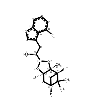 CC1(C)[C@@H]2C[C@H]3OB([C@@H](N)Cc4coc5cccc(Cl)c45)O[C@@]3(C)[C@H]1C2